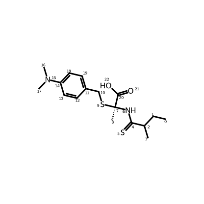 CCC(C)C(=S)N[C@@](C)(SCc1ccc(N(C)C)cc1)C(=O)O